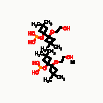 CC1(C)CC(OCCO)(C2(OP(O)O)CC(C)(C)C2)C1.CC1(C)CC(OCCO)(C2(OP(O)O)CC(C)(C)C2)C1.[Ni]